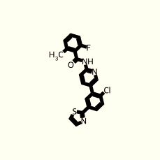 Cc1cccc(F)c1C(=O)Nc1ccc(-c2cc(-c3nccs3)ccc2Cl)cn1